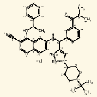 CC(Nc1c(C#N)cnc2c(Cl)cc(N[C@H](C3=CN(C4CCN(C(C)(C)C)CC4)NN3)c3cccc(C(=O)N(C)C)c3)cc12)c1ccccc1